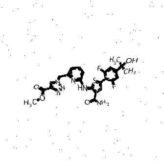 COC(=O)c1cn(Cc2cccc(Nc3sc(-c4c(F)cc(C(C)(C)O)cc4F)cc3C(N)=O)n2)nn1